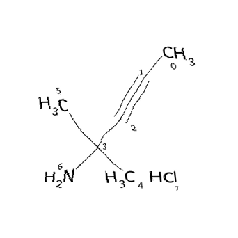 CC#CC(C)(C)N.Cl